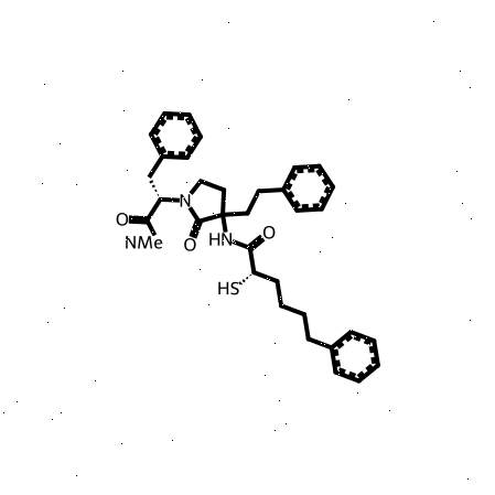 CNC(=O)[C@H](Cc1ccccc1)N1CCC(CCc2ccccc2)(NC(=O)[C@@H](S)CCCCc2ccccc2)C1=O